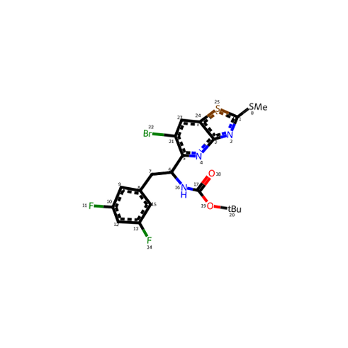 CSc1nc2nc(C(Cc3cc(F)cc(F)c3)NC(=O)OC(C)(C)C)c(Br)cc2s1